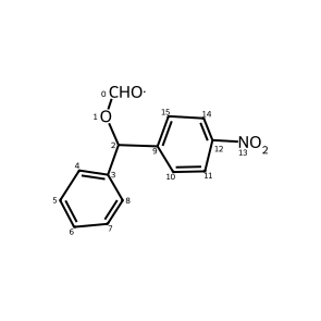 O=[C]OC(c1ccccc1)c1ccc([N+](=O)[O-])cc1